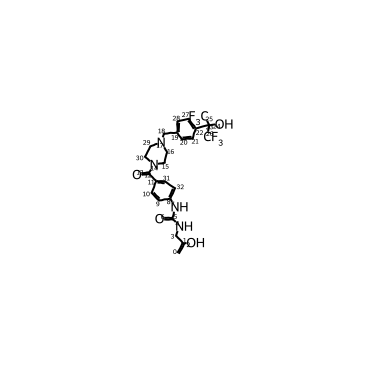 C=C(O)CNC(=O)Nc1ccc(C(=O)N2CCN(Cc3ccc(C(O)(C(F)(F)F)C(F)(F)F)cc3)CC2)cc1